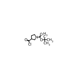 CC(C)(C)OC(=O)N1CCC(C(=O)Cl)C1